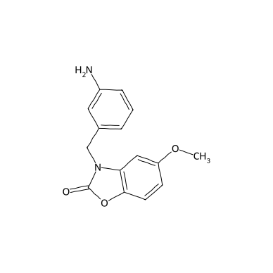 COc1ccc2oc(=O)n(Cc3cccc(N)c3)c2c1